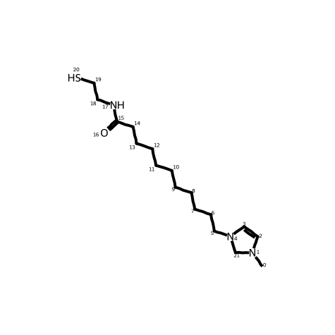 CN1C=CN(CCCCCCCCCCC(=O)NCCS)C1